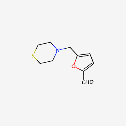 O=Cc1ccc(CN2CCSCC2)o1